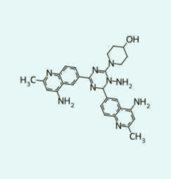 Cc1cc(N)c2cc(C3=NC(c4ccc5nc(C)cc(N)c5c4)N(N)C(N4CCC(O)CC4)=N3)ccc2n1